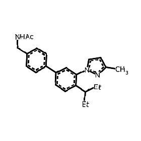 CCC(CC)c1ccc(-c2ccc(CNC(C)=O)cc2)cc1-n1ccc(C)n1